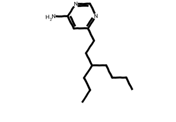 CCCCC(CCC)CCc1cc(N)ncn1